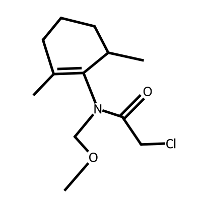 COCN(C(=O)CCl)C1=C(C)CCCC1C